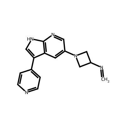 C=NC1CN(c2cnc3[nH]cc(-c4ccncc4)c3c2)C1